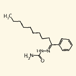 CCCCCCCCCC(=NNC(N)=O)c1ccccc1